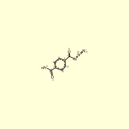 CCCC(=O)c1ccc(C(=O)N=[N+]=[N-])cc1